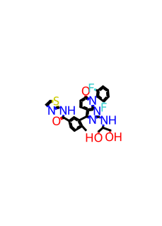 Cc1ccc(C(=O)Nc2nccs2)cc1-c1nc(NC(CO)CO)nc2c1ccc(=O)n2-c1c(F)cccc1F